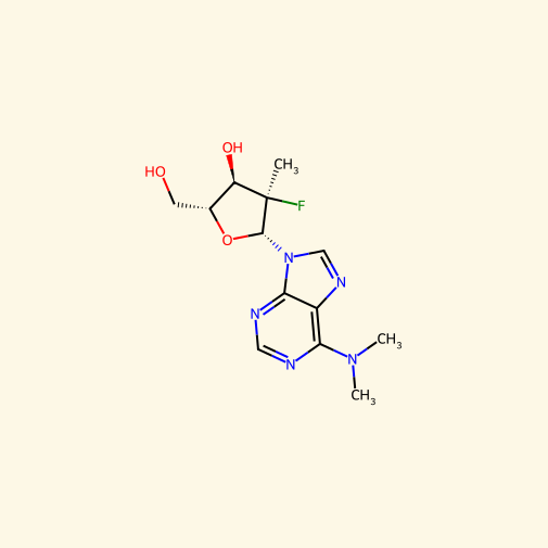 CN(C)c1ncnc2c1ncn2[C@@H]1O[C@H](CO)[C@@H](O)[C@@]1(C)F